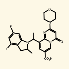 CC1Cc2c(F)cc(F)cc2N1C(C)c1cc(C(=O)O)cn2c(=O)cc(N3CCOCC3)nc12